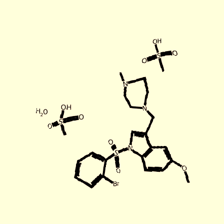 COc1ccc2c(c1)c(CN1CCN(C)CC1)cn2S(=O)(=O)c1ccccc1Br.CS(=O)(=O)O.CS(=O)(=O)O.O